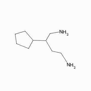 NCCC(CN)C1CCCC1